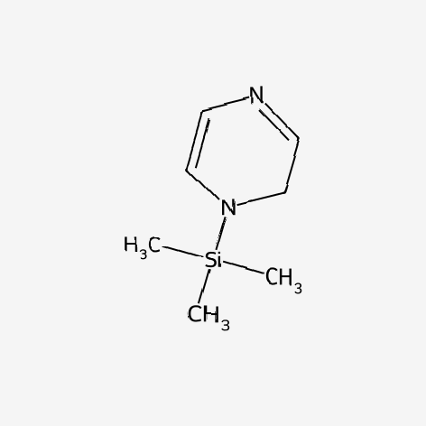 C[Si](C)(C)N1C=CN=CC1